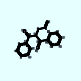 C=CCC(C(=O)c1ccccc1)C(=O)c1ccccc1